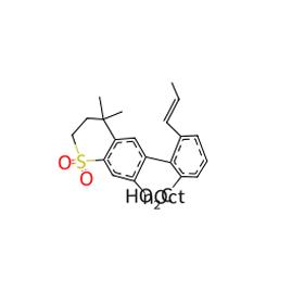 CC=Cc1cccc(C(=O)O)c1-c1cc2c(cc1CCCCCCCC)S(=O)(=O)CCC2(C)C